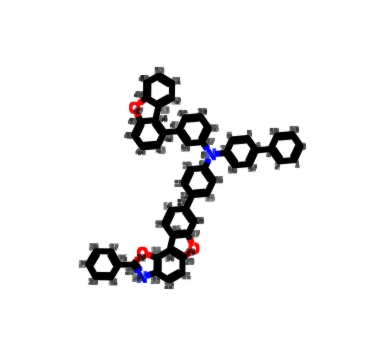 c1ccc(-c2ccc(N(c3ccc(-c4ccc5c(c4)oc4ccc6nc(-c7ccccc7)oc6c45)cc3)c3cccc(-c4cccc5oc6ccccc6c45)c3)cc2)cc1